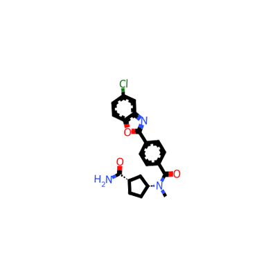 CN(C(=O)c1ccc(-c2nc3cc(Cl)ccc3o2)cc1)[C@@H]1CC[C@H](C(N)=O)C1